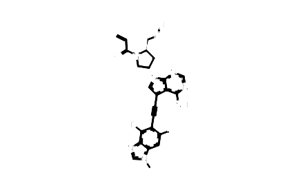 C=CC(=O)N1C[C@@H](n2cc(C#Cc3c(F)cc4c(ncn4C)c3F)c3c(N)ncnc32)C[C@@H]1COC(F)(F)F